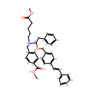 COC(=O)CCCCN(Cc1ccc(C(=O)OC)cc1)C(Cc1ccccc1)OCc1ccc(C=Cc2ccccc2)cc1